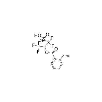 C=Cc1ccccc1C(=O)OC(C(F)(F)F)C(F)(F)S(=O)(=O)O